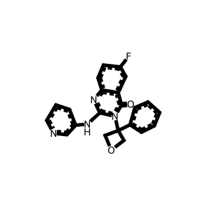 O=c1c2cc(F)ccc2nc(Nc2cccnc2)n1C1(c2ccccc2)COC1